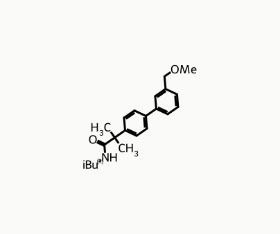 CC[C@@H](C)NC(=O)C(C)(C)c1ccc(-c2cccc(COC)c2)cc1